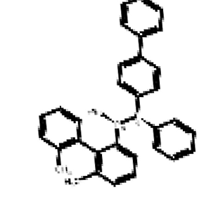 Cc1ccc[c]c1-c1c(C)cccc1[P@]([P@](c1ccccc1)c1ccc(-c2ccccc2)cc1)C(C)(C)C